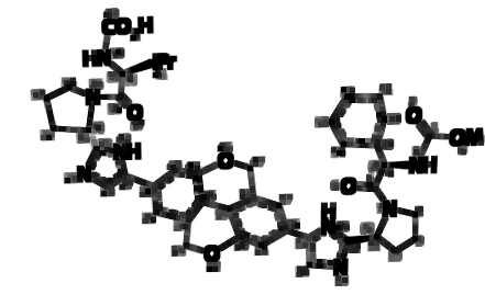 COC(=O)N[C@@H](C(=O)N1CCC[C@H]1c1ncc(-c2cc3c4c(c2)OCc2cc(-c5cnc([C@@H]6CCCN6C(=O)[C@@H](NC(=O)O)C(C)C)[nH]5)cc(c2-4)OC3)[nH]1)c1ccccc1